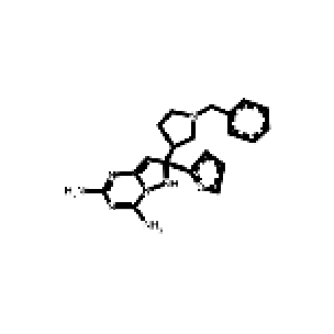 NC1=NC2=CC(c3ccco3)(C3CCN(Cc4ccccc4)C3)NN2C(N)=N1